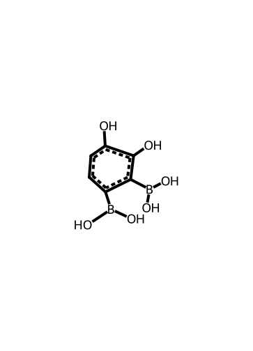 OB(O)c1ccc(O)c(O)c1B(O)O